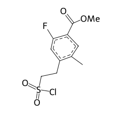 COC(=O)c1cc(C)c(CCS(=O)(=O)Cl)cc1F